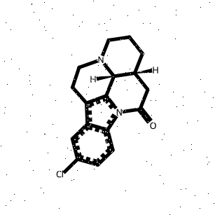 O=C1C[C@H]2CCCN3CCc4c(n1c1ccc(Cl)cc41)[C@@H]23